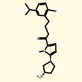 CC(C)c1ccc(F)c(CCCC(=O)c2ccc([C@H]3CC[C@@H](N)C3)n2C)c1